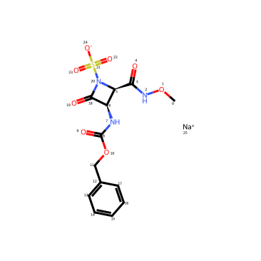 CONC(=O)[C@H]1[C@@H](NC(=O)OCc2ccccc2)C(=O)N1S(=O)(=O)[O-].[Na+]